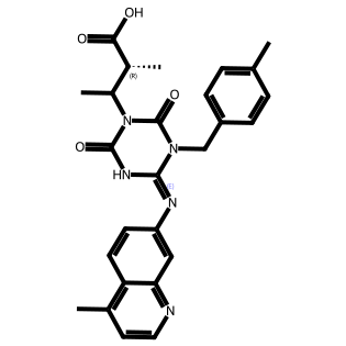 Cc1ccc(Cn2c(=O)n(C(C)[C@@H](C)C(=O)O)c(=O)[nH]/c2=N\c2ccc3c(C)ccnc3c2)cc1